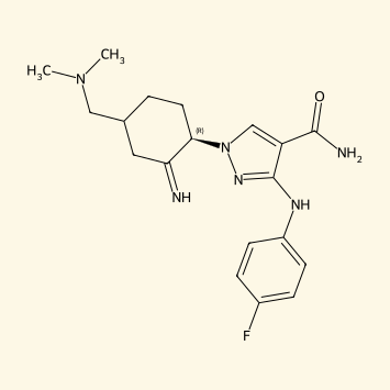 CN(C)CC1CC[C@@H](n2cc(C(N)=O)c(Nc3ccc(F)cc3)n2)C(=N)C1